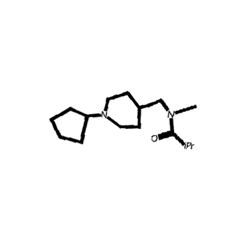 CC(C)C(=O)N(C)CC1CCN(C2CCCC2)CC1